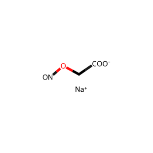 O=NOCC(=O)[O-].[Na+]